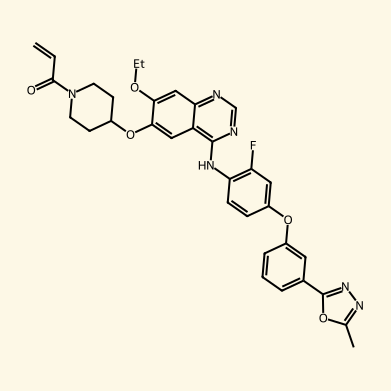 C=CC(=O)N1CCC(Oc2cc3c(Nc4ccc(Oc5cccc(-c6nnc(C)o6)c5)cc4F)ncnc3cc2OCC)CC1